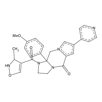 COc1ccc(C23Cn4cc(-c5ccncc5)cc4C(=O)N2CCN3C(=O)C2=CONC2C)cc1